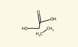 CC.O=C(O)CO